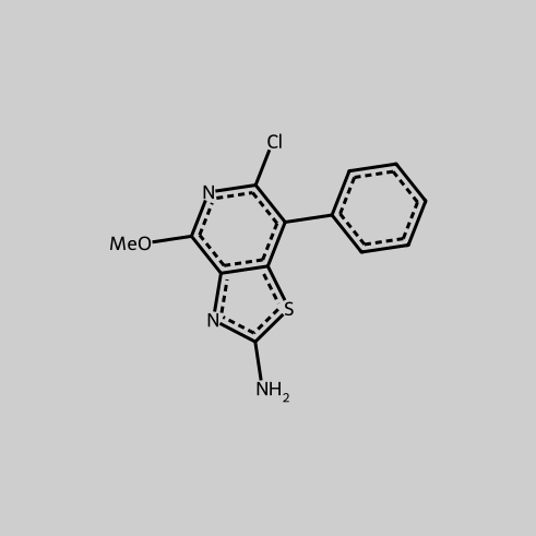 COc1nc(Cl)c(-c2ccccc2)c2sc(N)nc12